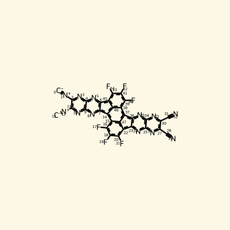 [C-]#[N+]c1nc2nc3c(nc2nc1[N+]#[C-])c1c2c(F)c(F)c(F)c4c5nc6nc(C#N)c(C#N)nc6nc5c(c5c(F)c(F)c(F)c3c51)c42